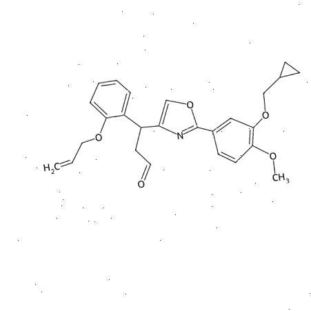 C=CCOc1ccccc1C(CC=O)c1coc(-c2ccc(OC)c(OCC3CC3)c2)n1